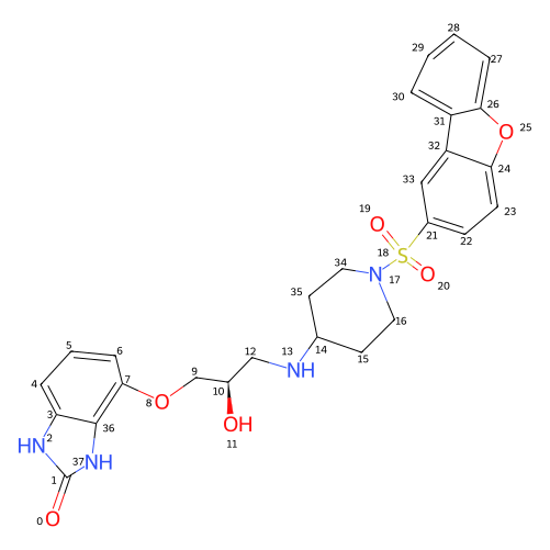 O=c1[nH]c2cccc(OC[C@H](O)CNC3CCN(S(=O)(=O)c4ccc5oc6ccccc6c5c4)CC3)c2[nH]1